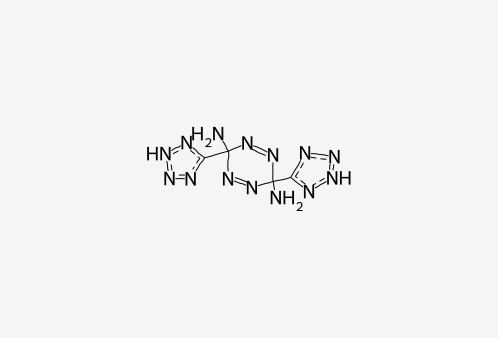 NC1(c2nn[nH]n2)N=NC(N)(c2nn[nH]n2)N=N1